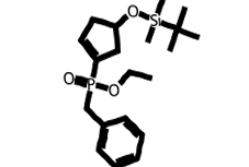 CCOP(=O)(Cc1ccccc1)C1=CCC(O[Si](C)(C)C(C)(C)C)C1